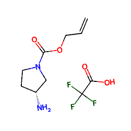 C=CCOC(=O)N1CC[C@@H](N)C1.O=C(O)C(F)(F)F